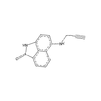 C#CCNc1ccc2c3c(cccc13)C(=O)N2